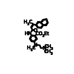 CCOC(=O)c1cc(N(C)CCN(C)C)ccc1NC(=O)/C=C(/C)c1ccc2ccccc2c1